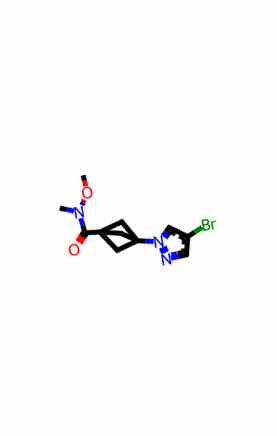 CON(C)C(=O)C12CC(n3cc(Br)cn3)(C1)C2